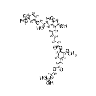 COc1cc(/C=C/C(=O)OCCON(O)O)ccc1OC(=O)CCC/C=C\C[C@@H]1[C@@H](/C=C/[C@@H](O)COc2cccc(C(F)(F)F)c2)[C@H](O)C[C@@H]1O